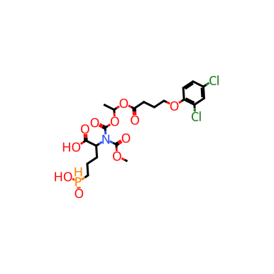 COC(=O)N(C(=O)OC(C)OC(=O)CCCOc1ccc(Cl)cc1Cl)C(CCC[PH](=O)O)C(=O)O